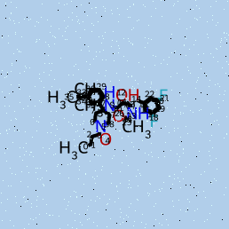 CCCC(=O)N1CCC(NC[C@H](O)[C@H](Cc2cc(F)cc(F)c2)NC(C)=O)(c2cccc(C(C)(C)C)c2)CC1